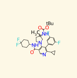 CC(C)(C)OC(=O)N[C@@]1(C)CCN(c2c(C(=O)NC3CCC(F)(F)CC3)cnc(C3CC3)c2-c2cc(F)cc(F)c2)C1